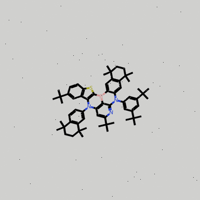 CC(C)(C)c1cc(N2c3cc4c(cc3B3c5sc6ccc(C(C)(C)C)cc6c5N(c5ccc6c(c5)C(C)(C)CCC6(C)C)c5cc(C(C)(C)C)nc2c53)C(C)(C)CCC4(C)C)cc(C(C)(C)C)c1